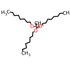 CCCCCCCCO[Si](C)(OCCCCCCCC)OCCCCCCCC